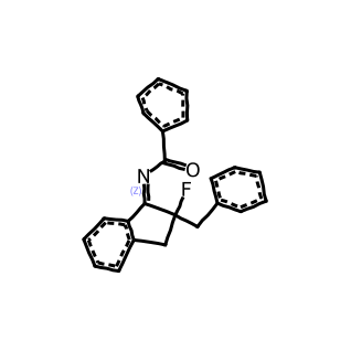 O=C(/N=C1/c2ccccc2CC1(F)Cc1ccccc1)c1ccccc1